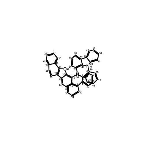 c1ccc(-c2ccccc2N(c2cccc3c2oc2c4ccccc4ccc32)c2cccc3c4ccccc4n(-c4ccccc4)c23)cc1